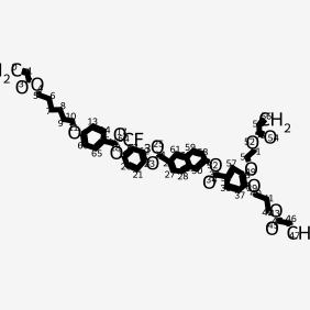 C=CC(=O)OCCCCCCOc1ccc(C(=O)Oc2ccc(OC(=O)c3ccc4cc(OC(=O)c5ccc(OCCCOC(=O)C=C)c(OCCOC(=O)C=C)c5)ccc4c3)cc2C(F)(F)F)cc1